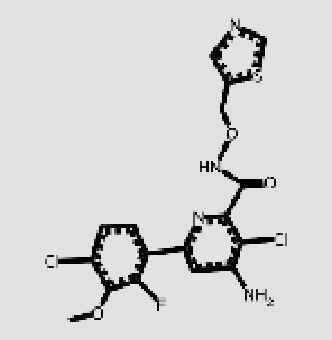 COc1c(Cl)ccc(-c2cc(N)c(Cl)c(C(=O)NOCc3cncs3)n2)c1F